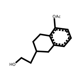 CC(=O)Oc1cccc2c1CCC(CCO)C2